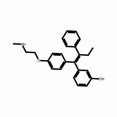 CCC(=C(c1ccc(OCCNC)cc1)c1cccc(O)c1)c1ccccc1